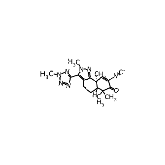 [C-]#[N+]C1=C[C@]2(C)c3nn(C)c(-c4nnn(C)n4)c3CC[C@H]2C(C)(C)C1=O